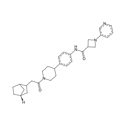 O=C(Nc1ccc(C2CCN(C(=O)CC3C[C@@H]4CCC3C4)CC2)cc1)C1CN(c2cccnc2)C1